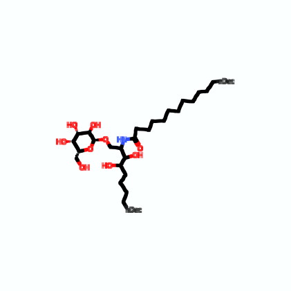 CCCCCCCCCCCCCCCCCCCCCC(=O)NC(CO[C@H]1O[C@H](CO)[C@H](O)[C@H](O)[C@H]1O)C(O)C(O)CCCCCCCCCCCCCC